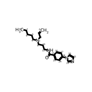 C=CCN(CCCCC)CCCNC(=O)c1ccc(-n2ccnc2)cc1